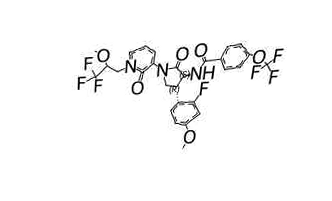 COc1ccc([C@@H]2CN(c3cccn(CC(OC)C(F)(F)F)c3=O)C(=O)[C@H]2NC(=O)c2ccc(OC(F)(F)F)cc2)c(F)c1